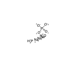 O.O=P([O-])([O-])[O-].P.[Na+].[Na+].[Na+]